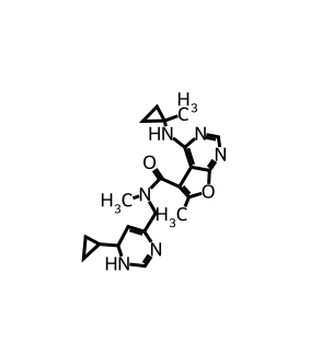 Cc1oc2ncnc(NC3(C)CC3)c2c1C(=O)N(C)CC1=CC(C2CC2)NC=N1